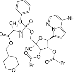 CC(C)C(=O)O[C@H]1[C@H](c2ccc3c(N)ccnn23)O[C@](C#N)(COP(=O)(N[C@@H](C)C(=O)OCC2CCOCC2)Oc2ccccc2)[C@H]1OC(=O)C(C)C